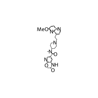 COc1ccc2nccc(CCN3CCC(N(C)C(=O)c4cnc5c(c4)NC(=O)CO5)CC3)c2n1